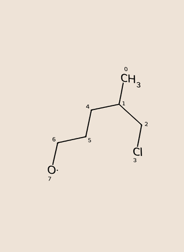 CC(CCl)CCC[O]